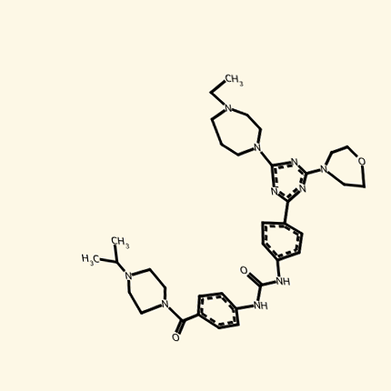 CCN1CCCN(c2nc(-c3ccc(NC(=O)Nc4ccc(C(=O)N5CCN(C(C)C)CC5)cc4)cc3)nc(N3CCOCC3)n2)CC1